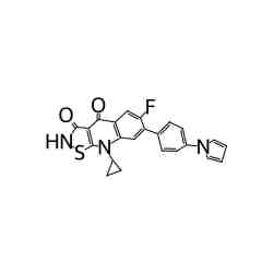 O=c1[nH]sc2c1c(=O)c1cc(F)c(-c3ccc(-n4cccc4)cc3)cc1n2C1CC1